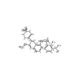 COc1cc2ncnc(NC(C)c3cccc(C(F)F)c3F)c2cc1C1=CCS(=O)(=O)CC1